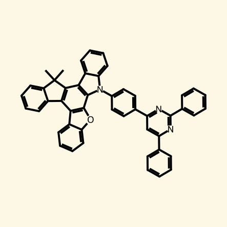 CC1(C)c2ccccc2-c2c1c1c3ccccc3n(-c3ccc(-c4cc(-c5ccccc5)nc(-c5ccccc5)n4)cc3)c1c1oc3ccccc3c21